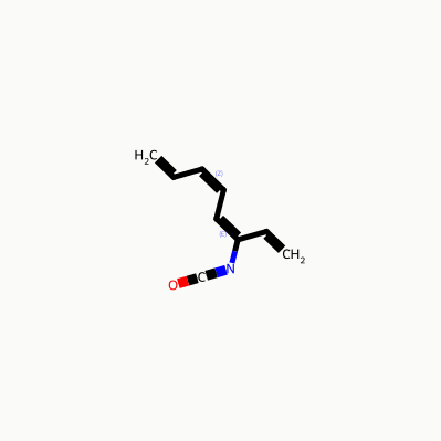 C=C/C=C\C=C(/C=C)N=C=O